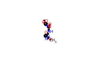 COc1cnc2cccc(CC(=O)NCC[C@H]3CN(c4ccc5c(c4)OCCO5)C(=O)O3)c2n1